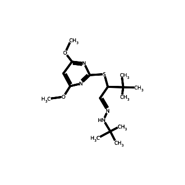 COc1cc(OC)nc(SC(C=NNC(C)(C)C)C(C)(C)C)n1